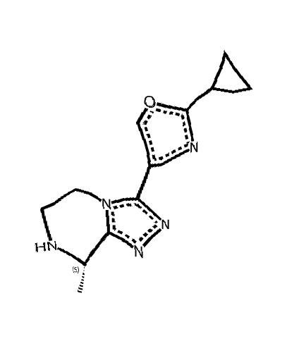 C[C@@H]1NCCn2c(-c3coc(C4CC4)n3)nnc21